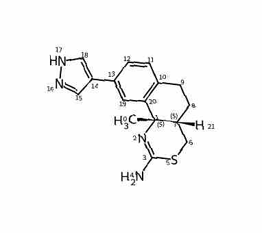 C[C@]12N=C(N)SC[C@H]1CCc1ccc(-c3cn[nH]c3)cc12